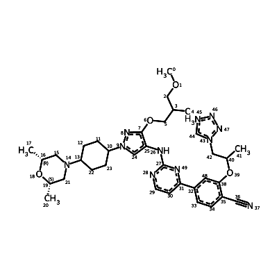 COCC(C)COc1nn(C2CCC(N3C[C@@H](C)O[C@@H](C)C3)CC2)cc1Nc1nccc(-c2ccc(C#N)c(OC(C)Cn3cnnn3)c2)n1